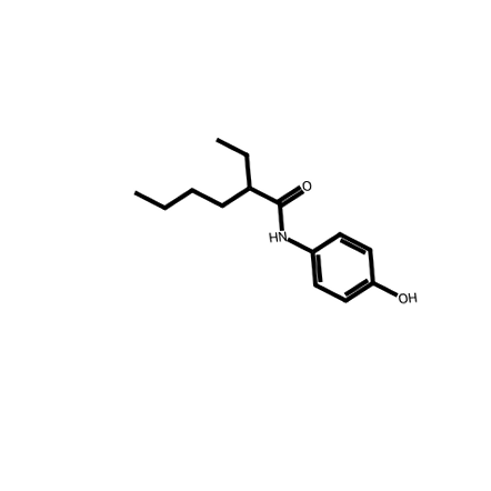 CCCCC(CC)C(=O)Nc1ccc(O)cc1